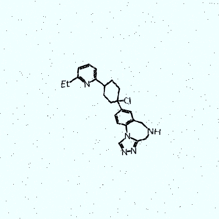 CCc1cccc(C2CCC(Cl)(c3ccc4c(c3)CNCc3nncn3-4)CC2)n1